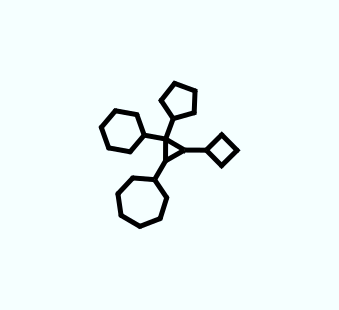 C1CCCC(C2[C](C3CCC3)C2(C2CCCCC2)C2CCCC2)CC1